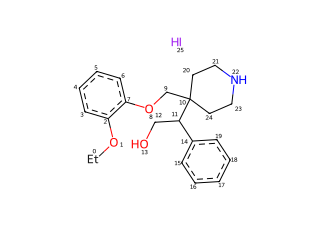 CCOc1ccccc1OCC1(C(CO)c2ccccc2)CCNCC1.I